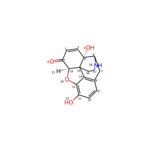 O=C1C=C[C@@]2(O)C3Cc4ccc(O)c5c4C2(CCN3)[C@H]1O5